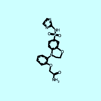 NC(=O)COc1ccccc1N1CCOc2cc(S(=O)(=O)Nc3nccs3)ccc21